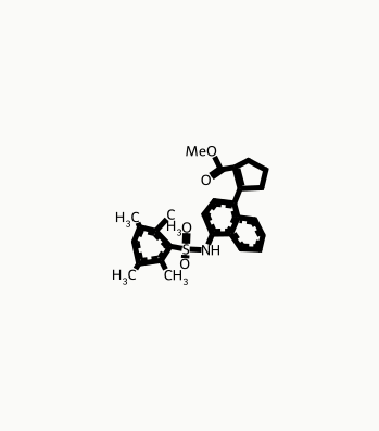 COC(=O)C1=C(c2ccc(NS(=O)(=O)c3c(C)c(C)cc(C)c3C)c3ccccc23)CCC1